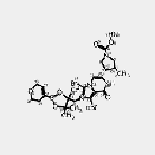 C[C@@H]1CN(C(=O)OC(C)(C)C)C[C@H]1c1cn2c(Br)[n+](CC3(C)OB(C4=CCOCC4)OC3(C)C)c(Br)c2c(=O)[nH]1